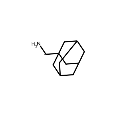 N[CH]C12CC3CC(CC(C3)C1)C2